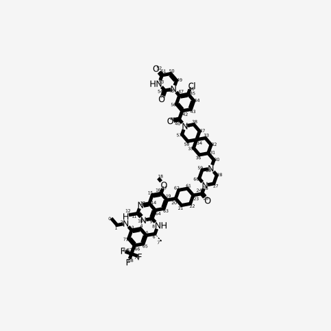 CCNc1cc([C@@H](C)Nc2nc(C)nc3cc(OC)c(C4CCC(C(=O)N5CCN(CC6CCC7(CC6)CCN(C(=O)c6ccc(Cl)c(-n8ccc(=O)[nH]c8=O)c6)CC7)CC5)CC4)cc23)cc(C(F)(F)F)c1